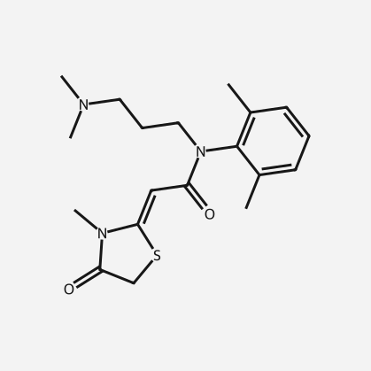 Cc1cccc(C)c1N(CCCN(C)C)C(=O)/C=C1\SCC(=O)N1C